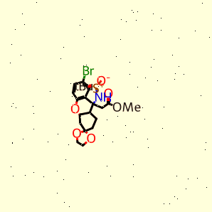 COC(=O)CC1(N[S+]([O-])C(C)(C)C)c2cc(Br)ccc2OC2CC3(CCC21)OCCO3